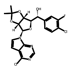 CC1(C)O[C@H]2[C@@H](O1)[C@H](n1ccc3c(Cl)ncnc31)O[C@@H]2[C@H](O)c1ccc(Cl)c(F)c1